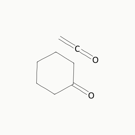 C=C=O.O=C1CCCCC1